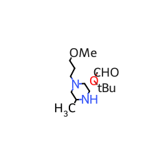 CC(C)(C)OC=O.COCCCN1CCNC(C)C1